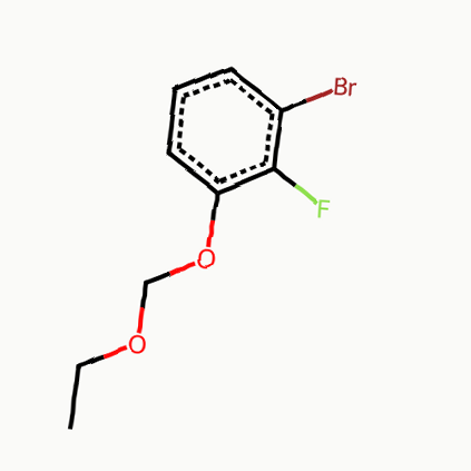 CCOCOc1cccc(Br)c1F